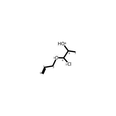 C=CCOC(Cl)C(C)O